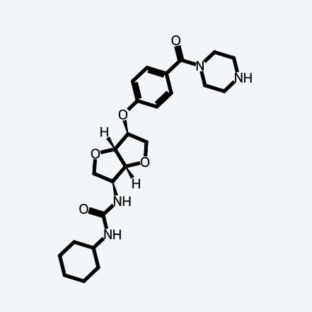 O=C(NC1CCCCC1)N[C@H]1CO[C@H]2[C@@H]1OC[C@@H]2Oc1ccc(C(=O)N2CCNCC2)cc1